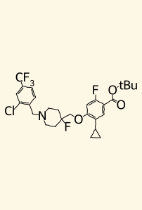 CC(C)(C)OC(=O)c1cc(C2CC2)c(OCC2(F)CCN(Cc3ccc(C(F)(F)F)cc3Cl)CC2)cc1F